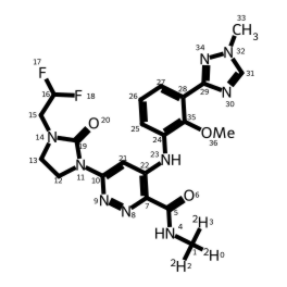 [2H]C([2H])([2H])NC(=O)c1nnc(N2CCN(CC(F)F)C2=O)cc1Nc1cccc(-c2ncn(C)n2)c1OC